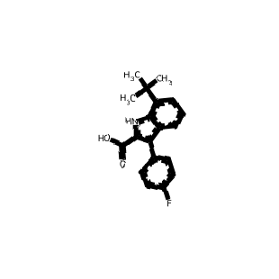 CC(C)(C)c1cccc2c(-c3ccc(F)cc3)c(C(=O)O)[nH]c12